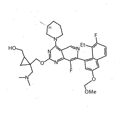 CCc1c(F)ccc2cc(OCOC)cc(-c3ncc4c(N5CCC[C@@H](C)C5)nc(OCC5(CN(C)C)CC5CO)nc4c3F)c12